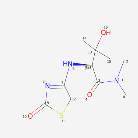 CN(C)C(=O)[C@@H](NC1=NC(=O)SC1)C(C)(C)O